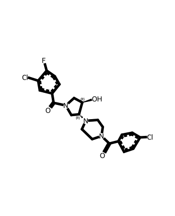 O=C(c1ccc(Cl)cc1)N1CCN([C@@H]2CN(C(=O)c3ccc(F)c(Cl)c3)C[C@H]2O)CC1